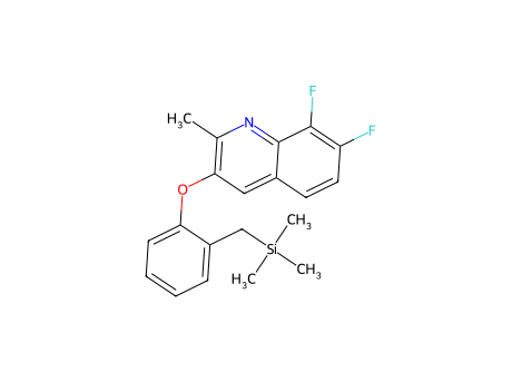 Cc1nc2c(F)c(F)ccc2cc1Oc1ccccc1C[Si](C)(C)C